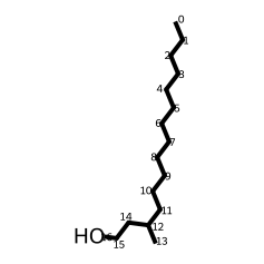 CCCCCCCCCCCCC(C)CCO